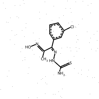 CC(=NO)C(=NNC(N)=S)c1cccc(Cl)c1